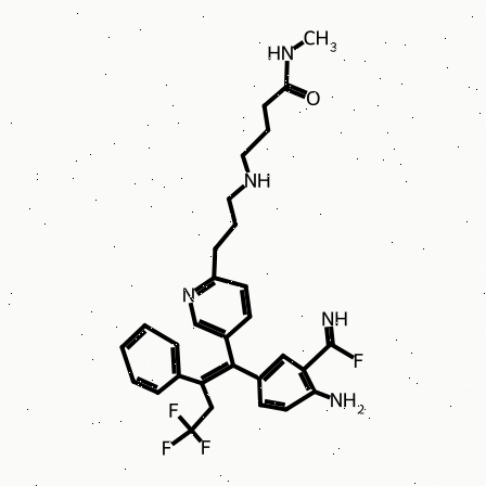 CNC(=O)CCCNCCCc1ccc(/C(=C(/CC(F)(F)F)c2ccccc2)c2ccc(N)c(C(=N)F)c2)cn1